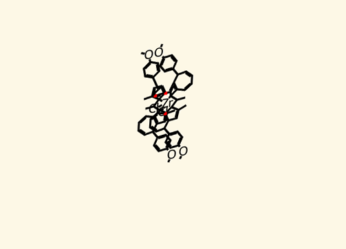 COc1ccc(C2C=CC=CC3=C2C=C(C)[C]32C(C)[C]3(C(C)=CC4=C3C=CC=CC4c3ccc(OC)cc3)[Zr]23([Cl])([Cl])[C]2(C(C)=CC4=C2C=CC=CC4c2ccc(OC)cc2)C(C)[C]32C(C)=CC3=C2C=CC=CC3c2ccc(OC)cc2)cc1